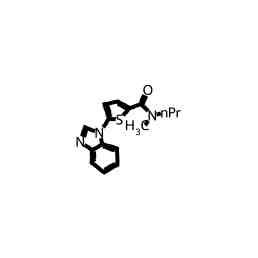 CCCN(C)C(=O)c1ccc(-n2cnc3ccccc32)s1